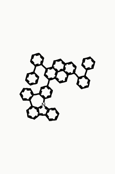 c1ccc(-c2ccccc2-c2ccc3ccc4c(-c5ccccc5-c5ccccc5)cc(-c5ccc6c(c5)-c5ccccc5-c5cccc7c8ccccc8n-6c57)c5ccc2c3c54)cc1